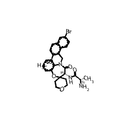 COc1ccc2cc(Br)ccc2c1CN1C(=O)[C@H](NC(=O)[C@H](C)N)C2(CCOCC2)Oc2ccccc21